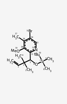 C=CC(C)(C)C(O[Si](C)(C)C(C)(C)C)c1ncc(Br)c(C)c1OC